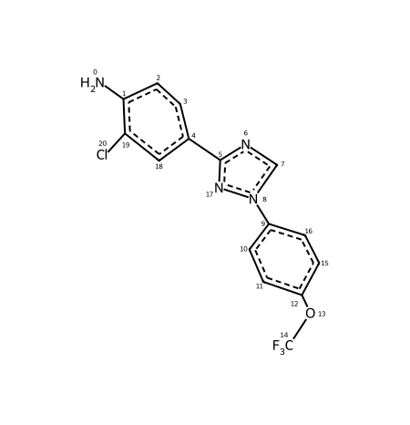 Nc1ccc(-c2ncn(-c3ccc(OC(F)(F)F)cc3)n2)cc1Cl